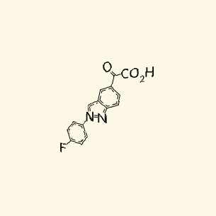 O=C(O)C(=O)c1ccc2nn(-c3ccc(F)cc3)cc2c1